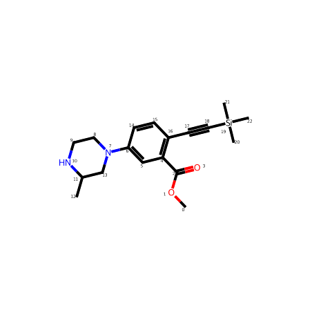 COC(=O)c1cc(N2CCNC(C)C2)ccc1C#C[Si](C)(C)C